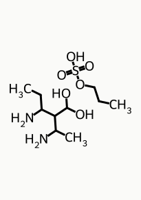 CCC(N)C(C(C)N)C(O)O.CCCOS(=O)(=O)O